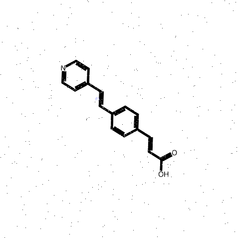 O=C(O)C=Cc1ccc(/C=C/c2ccncc2)cc1